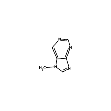 Cn1[c]nc2ncncc21